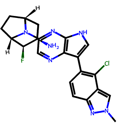 Cn1cc2c(Cl)c(-c3c[nH]c4nc(N5[C@@H]6CC[C@H]5[C@H](F)[C@H](N)C6)cnc34)ccc2n1